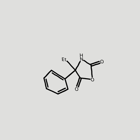 CCC1(c2ccccc2)NC(=O)OC1=O